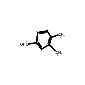 Cc1cc(C=O)ccc1C(F)(F)F